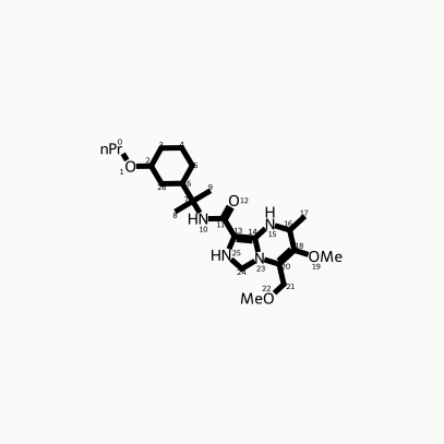 CCCOC1CCCC(C(C)(C)NC(=O)C2=C3NC(C)C(OC)=C(COC)N3CN2)C1